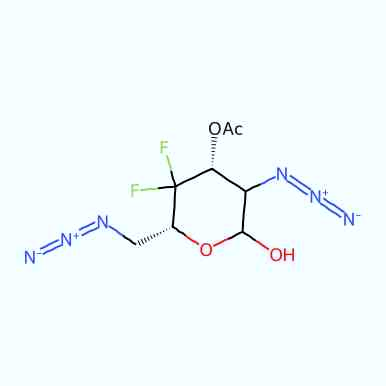 CC(=O)O[C@@H]1C(N=[N+]=[N-])C(O)O[C@H](CN=[N+]=[N-])C1(F)F